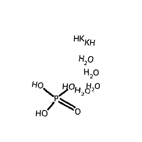 O.O.O.O.O=P(O)(O)O.[KH].[KH]